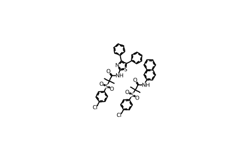 CC(C)(C(=O)Nc1ccc2ccccc2c1)S(=O)(=O)c1ccc(Cl)cc1.CC(C)(C(=O)Nc1nc(-c2ccccc2)c(-c2ccccc2)s1)S(=O)(=O)c1ccc(Cl)cc1